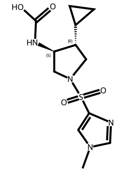 Cn1cnc(S(=O)(=O)N2C[C@@H](NC(=O)O)[C@H](C3CC3)C2)c1